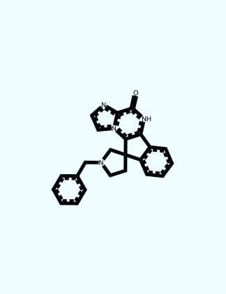 O=c1[nH]c2c(n3ccnc13)C1(CCN(Cc3ccccc3)C1)c1ccccc1-2